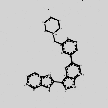 c1cc2nc(-c3n[nH]c4ncc(-c5cncc(CN6CCCCC6)c5)cc34)[nH]c2cn1